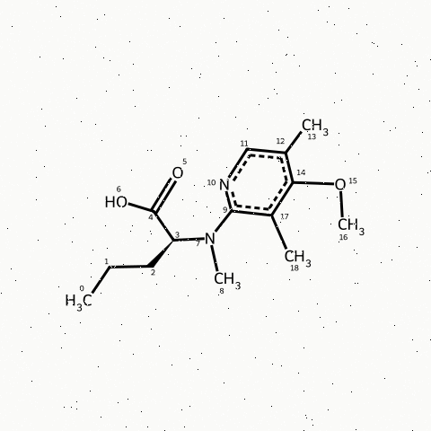 CCC[C@@H](C(=O)O)N(C)c1ncc(C)c(OC)c1C